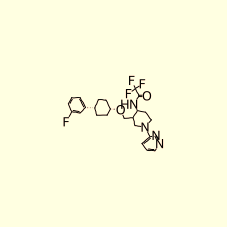 O=C(NC1CCN(c2cccnn2)CC1CO[C@H]1CC[C@@H](c2cccc(F)c2)CC1)C(F)(F)F